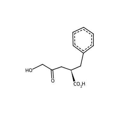 O=C(CO)C[C@@H](Cc1ccccc1)C(=O)O